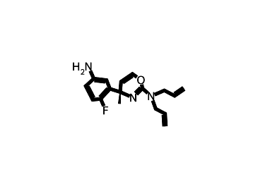 C=CCN(CC=C)C1=N[C@](C)(c2cc(N)ccc2F)C=CO1